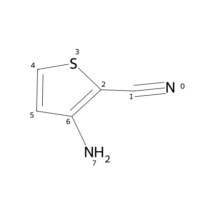 N#Cc1sccc1N